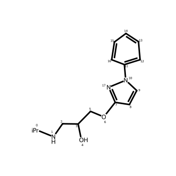 CC(C)NCC(O)COc1ccn(-c2ccccc2)n1